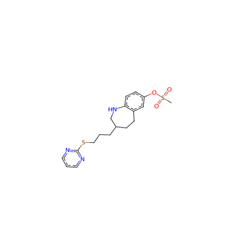 CS(=O)(=O)Oc1ccc2c(c1)CCC(CCCSc1ncccn1)CN2